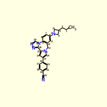 CCCC1CN(c2ccc3c(c2)Cn2cc(-c4ccc(C#N)cc4)cc2-c2nncn2-3)C1